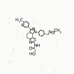 CO/N=C/c1ccc(-n2nc(-c3ccc(C)nc3)c3c2-c2sc(NC(=O)CO)nc2CC3)cc1